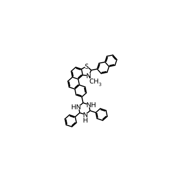 CN1c2c(ccc3ccc4cc(C5NC(c6ccccc6)NC(c6ccccc6)N5)ccc4c23)SC1c1ccc2ccccc2c1